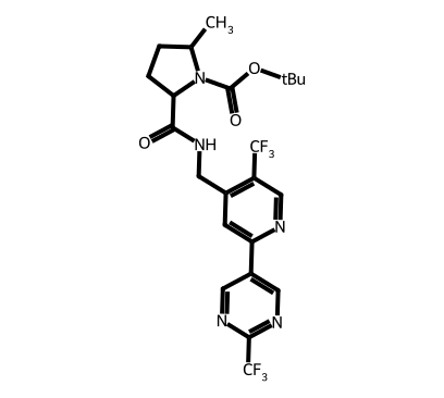 CC1CCC(C(=O)NCc2cc(-c3cnc(C(F)(F)F)nc3)ncc2C(F)(F)F)N1C(=O)OC(C)(C)C